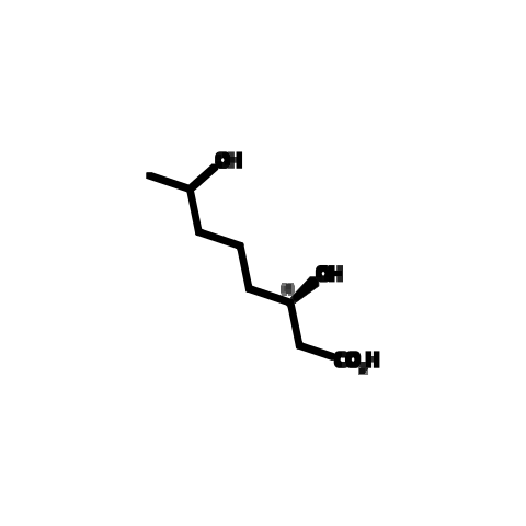 CC(O)CCC[C@@H](O)CC(=O)O